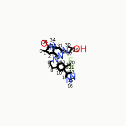 Cc1cc2c(N3CCCc4cc(-c5cnn(C)c5)c(C(F)F)cc43)nc(N3CC(O)C3)cc2n(C)c1=O